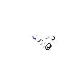 C/C(N)=C/C(=N)Nc1cc(OCCN2CCCC2)nc(NC2C3CC4CC2CC(O)(C4)C3)n1